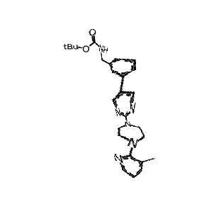 Cc1cccnc1N1CCN(c2ncc(-c3cccc(CNC(=O)OC(C)(C)C)c3)cn2)CC1